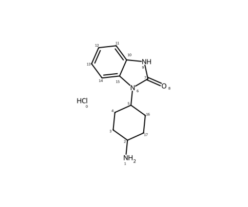 Cl.NC1CCC(n2c(=O)[nH]c3ccccc32)CC1